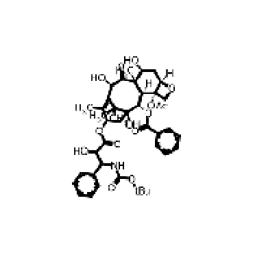 CC(=O)O[C@@]12CO[C@@H]1C[C@H](O)[C@@]1(C)C(=O)[C@H](O)C3=C(C)C(OC(=O)C(O)C(NC(=O)OC(C)(C)C)c4ccccc4)C[C@@](O)([C@@H](OC(=O)c4ccccc4)[C@H]21)C3(C)C